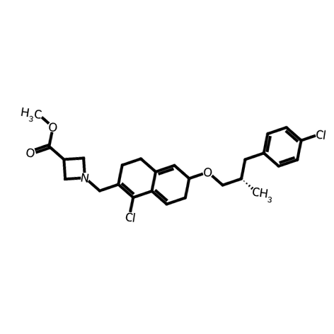 COC(=O)C1CN(CC2=C(Cl)C3=CCC(OC[C@@H](C)Cc4ccc(Cl)cc4)C=C3CC2)C1